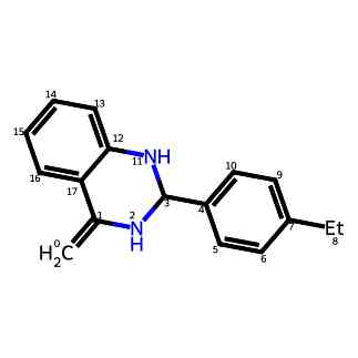 C=C1NC(c2ccc(CC)cc2)Nc2ccccc21